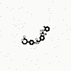 Cc1ccccc1Nc1nc2cc(CC(=O)Nc3ccc(C4CCCOC(=O)C4)cc3)ccc2n1C